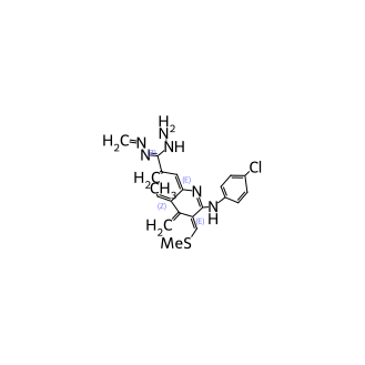 C=N/N=C(\NN)C(=C)/C=c1/nc(Nc2ccc(Cl)cc2)/c(=C/SC)c(=C)/c1=C/C